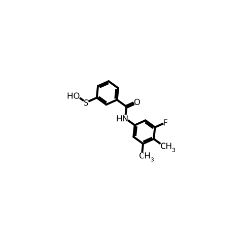 Cc1cc(NC(=O)c2cccc(SO)c2)cc(F)c1C